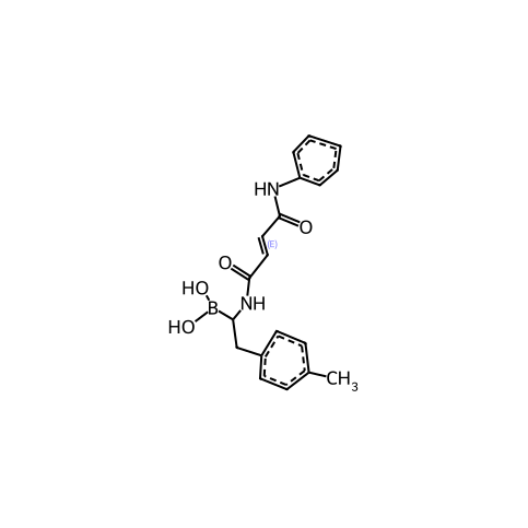 Cc1ccc(CC(NC(=O)/C=C/C(=O)Nc2ccccc2)B(O)O)cc1